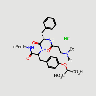 CCCCCNC(=O)[C@H](Cc1ccc(OC(C(=O)O)C(=O)O)cc1)NC(=O)[C@H](Cc1ccccc1)NC(=O)CCN(CC)CC.Cl